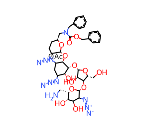 CC(=O)O[C@@H]1CC[C@@H](CN(Cc2ccccc2)C(=O)OCc2ccccc2)O[C@@H]1O[C@@H]1C(N=[N+]=[N-])CC(N=[N+]=[N-])[C@H](O)[C@H]1O[C@@H]1O[C@H](CO)[C@@H](O[C@H]2O[C@@H](CN)[C@@H](O)[C@H](O)C2N=[N+]=[N-])[C@H]1O